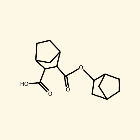 O=C(O)C1C2CCC(C2)C1C(=O)OC1CC2CCC1C2